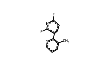 Cc1cccnc1-c1ccc(F)nc1F